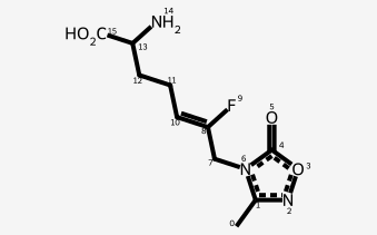 Cc1noc(=O)n1C/C(F)=C/CCC(N)C(=O)O